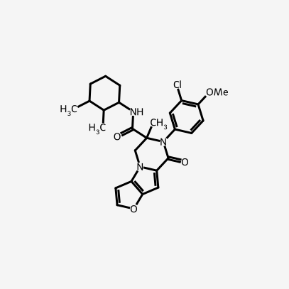 COc1ccc(N2C(=O)c3cc4occc4n3CC2(C)C(=O)NC2CCCC(C)C2C)cc1Cl